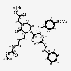 COc1ccc(C[C@H](NC(=O)OCc2ccccc2)C(=O)N2CCN(CC(=O)OC(C)(C)C)C(=O)[C@@H]2CCCNC(=O)OC(C)(C)C)cc1